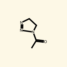 CC(=O)N1CCN=N1